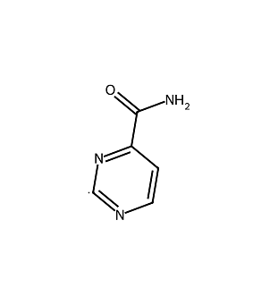 NC(=O)c1ccn[c]n1